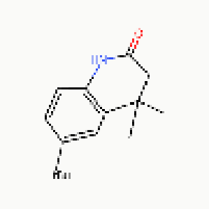 CC(C)(C)c1ccc2c(c1)C(C)(C)CC(=O)N2